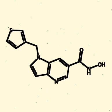 O=C(NO)c1cnc2ccn(Cc3ccsc3)c2c1